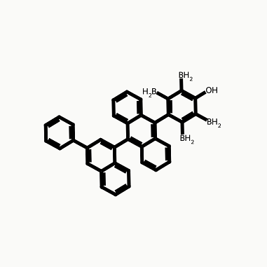 Bc1c(B)c(-c2c3ccccc3c(-c3cc(-c4ccccc4)cc4ccccc34)c3ccccc23)c(B)c(B)c1O